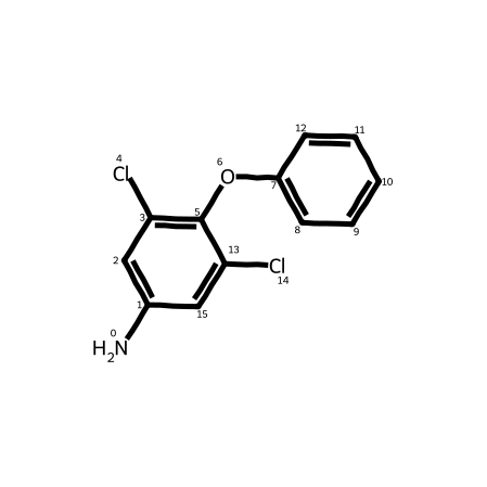 Nc1cc(Cl)c(Oc2ccccc2)c(Cl)c1